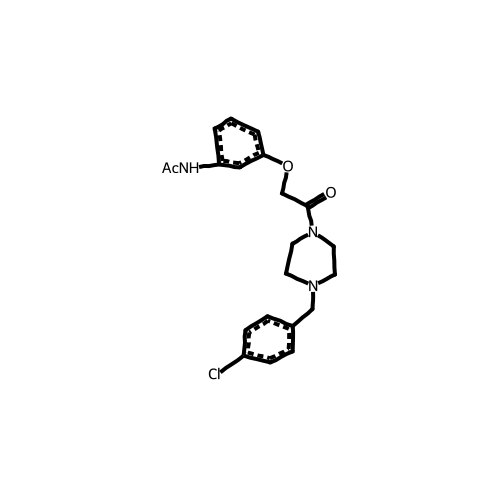 CC(=O)Nc1cccc(OCC(=O)N2CCN(Cc3ccc(Cl)cc3)CC2)c1